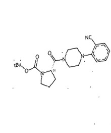 CC(C)(C)OC(=O)N1CCC[C@H]1C(=O)N1CCN(c2ccccc2C#N)CC1